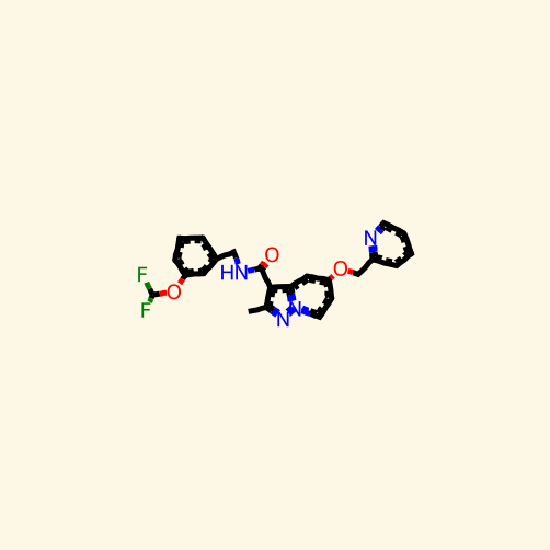 Cc1nn2ccc(OCc3ccccn3)cc2c1C(=O)NCc1cccc(OC(F)F)c1